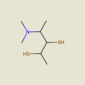 CC(S)C(S)C(C)N(C)C